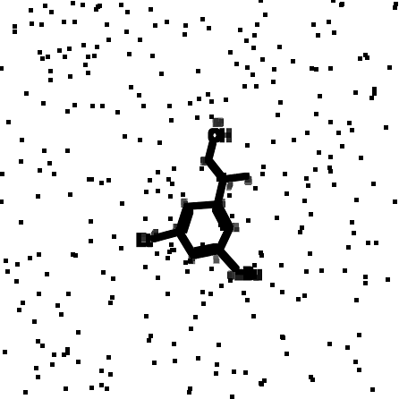 CCCCc1cc(CC)cc([C](C)CO)c1